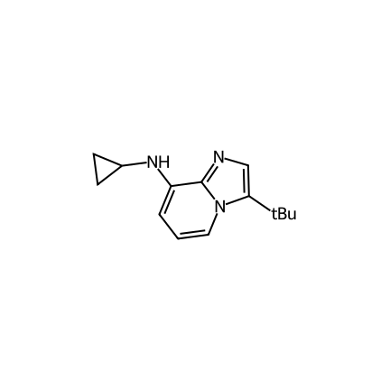 CC(C)(C)c1cnc2c(NC3CC3)cccn12